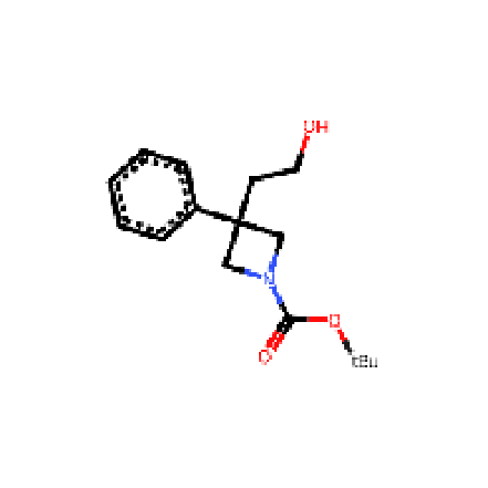 CC(C)(C)OC(=O)N1CC(CCO)(c2ccccc2)C1